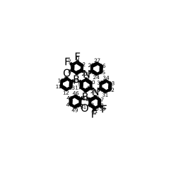 Fc1cc2c3c(c1F)Oc1ccccc1B3c1cc3c(cc1N2c1ccccc1)N(c1ccccc1)c1cc(F)c(F)c2c1B3c1ccccc1O2